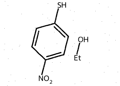 CCO.O=[N+]([O-])c1ccc(S)cc1